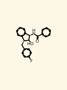 O=C(N[C@@H]1c2ccccc2[C@H](Cc2ccc(F)cc2)C1O)c1ccccc1